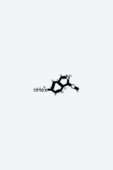 C=C=C1N=Cc2cc(CCCCCC)ccc21